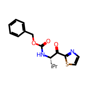 CC(C)[C@H](NC(=O)OCc1ccccc1)C(=O)c1nccs1